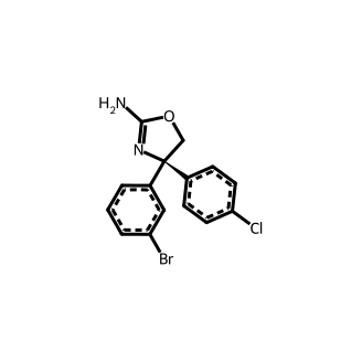 NC1=N[C@@](c2ccc(Cl)cc2)(c2cccc(Br)c2)CO1